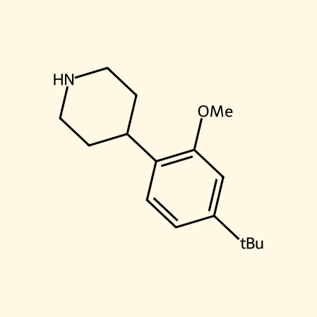 COc1cc(C(C)(C)C)ccc1C1CCNCC1